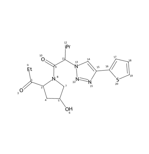 CCC(=O)C1CC(O)CN1C(=O)C(C(C)C)n1cc(-c2cccs2)nn1